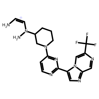 N/C=C\N(N)C1CCCN(c2ccnc(-c3cnc4cnc(C(F)(F)F)cn34)n2)C1